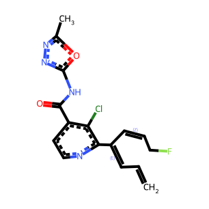 C=C/C=C(\C=C/CF)c1nccc(C(=O)Nc2nnc(C)o2)c1Cl